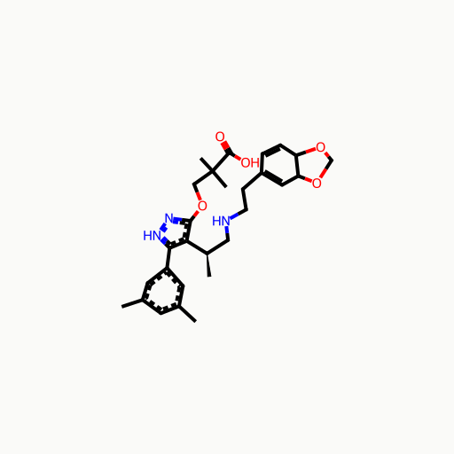 Cc1cc(C)cc(-c2[nH]nc(OCC(C)(C)C(=O)O)c2[C@H](C)CNCCC2=CC3OCOC3C=C2)c1